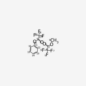 COC(=O)C(F)(F)F.O=C(Oc1ccccc1)C(F)(F)F